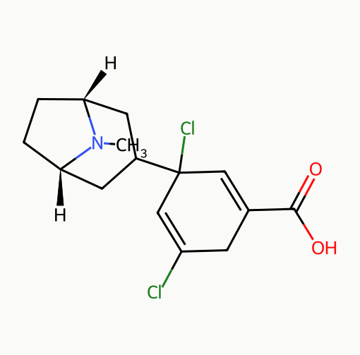 CN1[C@@H]2CC[C@H]1CC(C1(Cl)C=C(Cl)CC(C(=O)O)=C1)C2